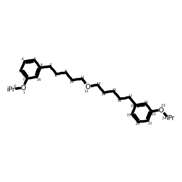 CC(C)Oc1cccc(CCCCCOCCCCCc2cccc(OC(C)C)c2)c1